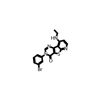 CCNc1ccnc2sc3c(=O)n(-c4cccc(Br)c4)cnc3c12